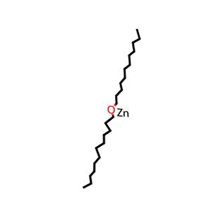 CCCCCCCCCCCCOCCCCCCCCCCCC.[Zn]